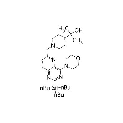 CCC[CH2][Sn]([CH2]CCC)([CH2]CCC)[c]1nc(N2CCOCC2)c2nc(CN3CCC(C(C)(C)O)CC3)ccc2n1